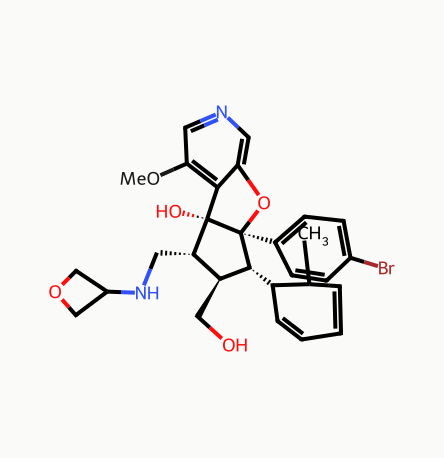 COc1cncc2c1[C@]1(O)[C@@H](CNC3COC3)[C@H](CO)[C@@H](C3C=CC=CC3C)[C@]1(c1ccc(Br)cc1)O2